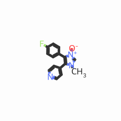 Cn1c[n+]([O-])c(-c2ccc(F)cc2)c1-c1ccncc1